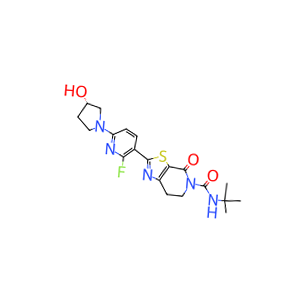 CC(C)(C)NC(=O)N1CCc2nc(-c3ccc(N4CC[C@H](O)C4)nc3F)sc2C1=O